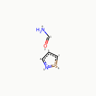 NC=O.c1cnsc1